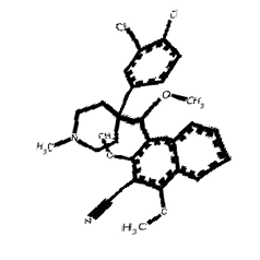 COc1c(C#N)c(OC)c2ccccc2c1C(OC)C1(c2ccc(Cl)c(Cl)c2)CCN(C)CC1